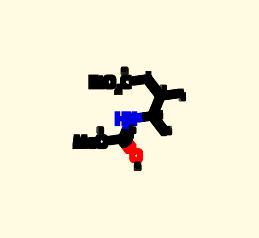 CCOC(=O)CC(C)C(C)NC(=O)OC